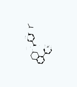 CC(C)Oc1ccc(C(=O)N[C@@H]2CCc3cccc(-c4ccnnc4)c3C2)cn1